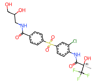 C[C@@](O)(C(=O)Nc1ccc(S(=O)(=O)c2ccc(C(=O)NCC(O)CO)cc2)cc1Cl)C(F)(F)F